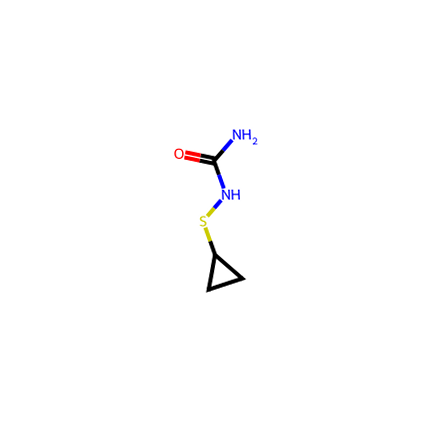 NC(=O)NSC1CC1